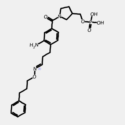 Nc1cc(C(=O)N2CCC(COP(=O)(O)O)C2)ccc1CC/C=N/OCCCc1ccccc1